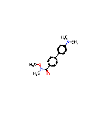 CON(C)C(=O)c1ccc(-c2ccc(N(C)C)cc2)cc1